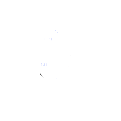 C=C/C=C(/c1cc(OCN[C@H](CN)Cc2ccccc2F)cs1)N(C)N